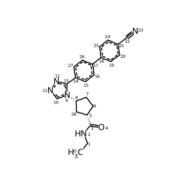 CCNC(=O)[C@H]1CC[C@@H](n2cnnc2-c2ccc(-c3ccc(C#N)cc3)cc2)C1